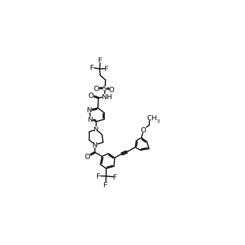 CCOc1cccc(C#Cc2cc(C(=O)N3CCN(c4ccc(C(=O)NS(=O)(=O)CCC(F)(F)F)nn4)CC3)cc(C(F)(F)F)c2)c1